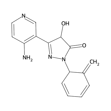 C=C1C=CC=CC1N1N=C(c2cnccc2N)C(O)C1=O